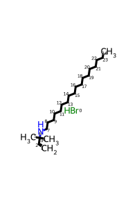 Br.C=CC(C)(C)NCCCCCCCCCCCCCCCCCC